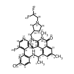 Cc1cc(C(C)Nc2ccc(Cl)nc2-c2ccncc2F)c2c(c1)c(=O)n(C)c1c2cnn1CC1CCN(CC(F)F)C1